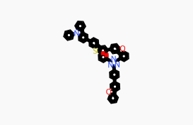 c1ccc(-c2nc(-c3ccc(-c4ccc5c(c4)oc4ccccc45)cc3)nc(-c3cccc4oc5ccc(-c6ccc7sc8cc(-c9ccc%10c(c9)c9ccccc9n%10-c9ccccc9)ccc8c7c6)cc5c34)n2)cc1